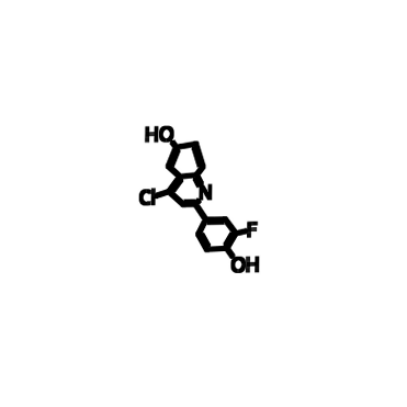 Oc1ccc2nc(-c3ccc(O)c(F)c3)cc(Cl)c2c1